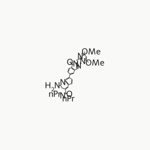 CCCN(CCC)C(=O)C1=Cc2ccc(-c3ccc4c(=O)n(Cc5nc(OC)cc(OC)n5)ncc4c3)cc2N=C(N)C1